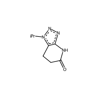 CC(C)n1nnc2c1CCC(=O)N2